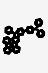 c1ccc(N(c2ccccc2)c2ccc(-c3ccc4c(c3)c3cc5c(cc3n4-c3ccccc3)C3(c4ccccc4-c4ccccc43)c3ccccc3-5)cc2)cc1